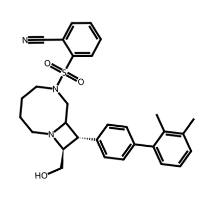 Cc1cccc(-c2ccc([C@H]3C4CN(S(=O)(=O)c5ccccc5C#N)CCCCN4[C@@H]3CO)cc2)c1C